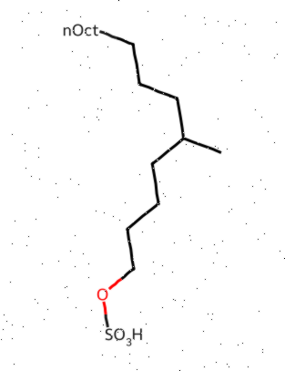 CCCCCCCCCCCC(C)CCCCOS(=O)(=O)O